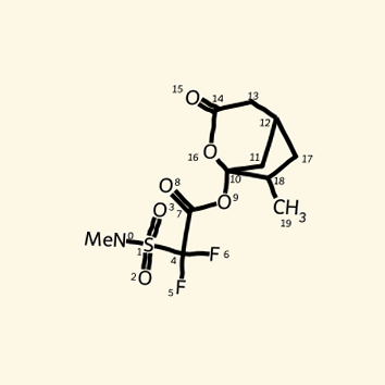 CNS(=O)(=O)C(F)(F)C(=O)OC12CC(CC(=O)O1)CC2C